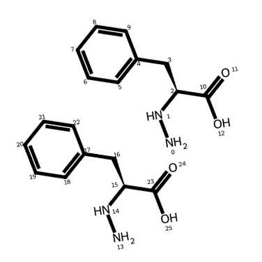 NN[C@@H](Cc1ccccc1)C(=O)O.NN[C@@H](Cc1ccccc1)C(=O)O